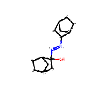 OC1(N=NC2CC3CCC2C3)CC2CCC1C2